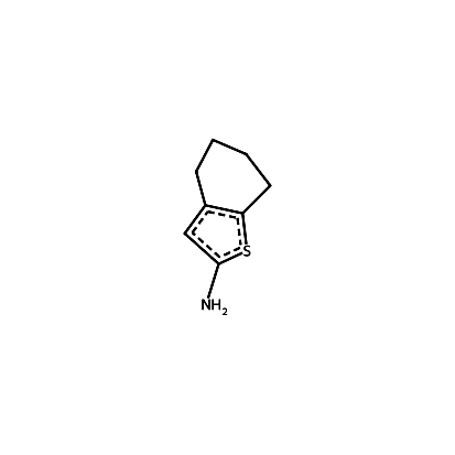 Nc1cc2c(s1)CCCC2